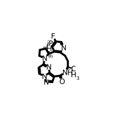 CC(C)[C@H]1CCN2c3ccn4ncc(c4n3)C(=O)N[C@H](C)CCc3ncc(F)cc3[C@@H]12